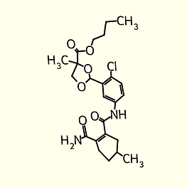 CCCCOC(=O)C1(C)COC(c2cc(NC(=O)C3=C(C(N)=O)CCC(C)C3)ccc2Cl)O1